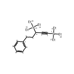 CC[Si](C#CC(CCc1ccccc1)[Si](CC)(CC)CC)(CC)CC